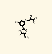 C[C@H](NC(=O)c1cc(Br)cc(OCC(Cl)=C(Cl)Cl)c1)C(N)=O